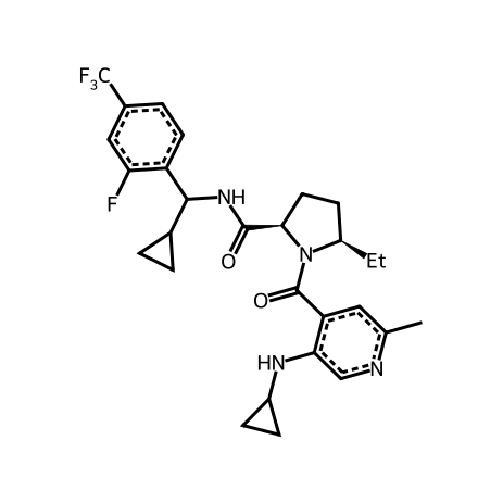 CC[C@@H]1CC[C@H](C(=O)NC(c2ccc(C(F)(F)F)cc2F)C2CC2)N1C(=O)c1cc(C)ncc1NC1CC1